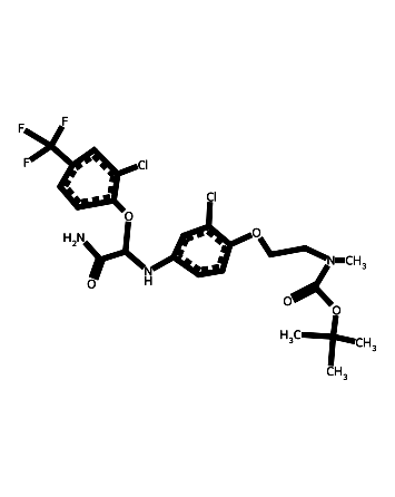 CN(CCOc1ccc(NC(Oc2ccc(C(F)(F)F)cc2Cl)C(N)=O)cc1Cl)C(=O)OC(C)(C)C